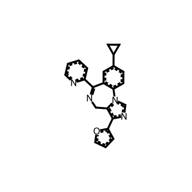 c1ccc(C2=NCc3c(-c4ccco4)ncn3-c3ccc(C4CC4)cc32)nc1